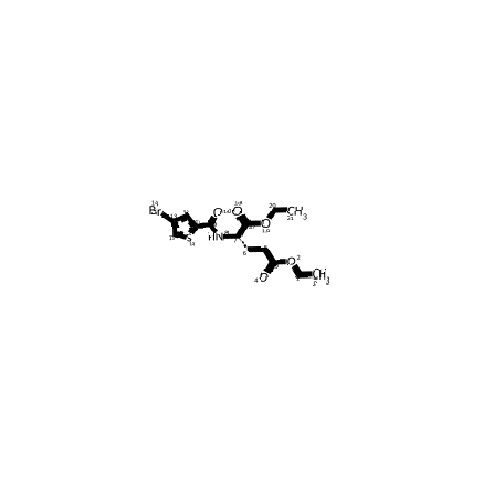 CCOC(=O)CC[C@H](NC(=O)c1cc(Br)cs1)C(=O)OCC